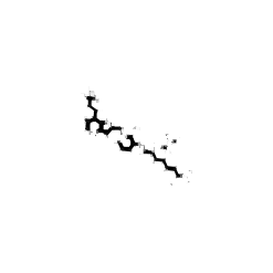 CN(C)C(=O)C=CCCC(OC(=O)N(C)C)C(=O)Nc1cccn(Cc2cc3ncc(F)c(CCC(F)(F)F)c3[nH]2)c1=O